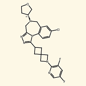 Fc1cnc(N2CC3(CC(c4nnc5n4-c4ccc(Cl)cc4CN([C@H]4CCOC4)C5)C3)C2)c(F)c1